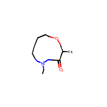 CCC1OCCCN(C)C1=O